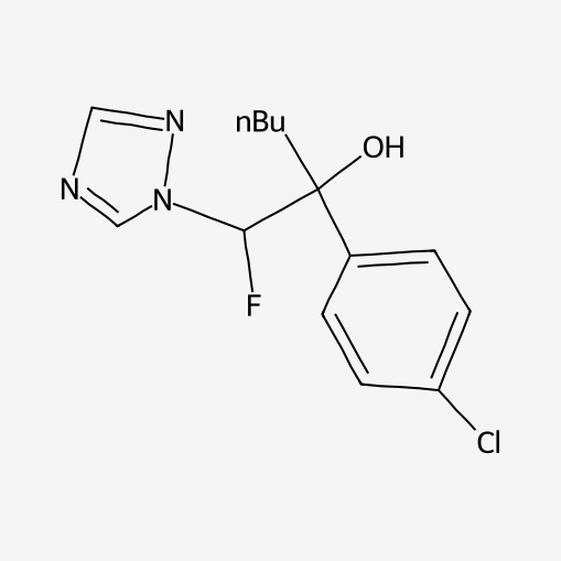 CCCCC(O)(c1ccc(Cl)cc1)C(F)n1cncn1